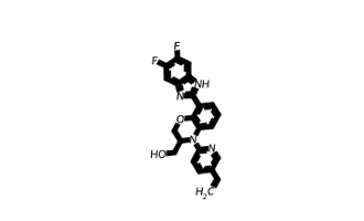 C=Cc1ccc(N2c3cccc(-c4nc5cc(F)c(F)cc5[nH]4)c3OCC2CO)nc1